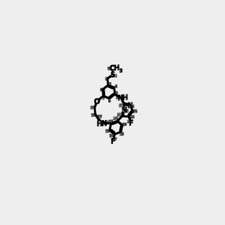 CSCc1cc2cc(c1)OCCCNc1cc(F)ccc1-c1nc(ncc1F)N2